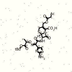 CC(=O)CC(=O)OCC1=C(C(=O)O)N2C(=O)[C@@H](NC(=O)/C(=N\OC(C)C(=O)OC(C)(C)C)c3csc(N)n3)[C@H]2SC1